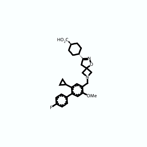 COc1cc(-c2ccc(F)cc2)c(C2CC2)cc1CN1CC2(CC([C@H]3CC[C@H](C(=O)O)CC3)=NO2)C1